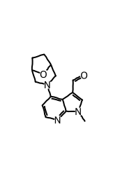 Cn1cc(C=O)c2c(N3CC4CCC(C3)O4)ccnc21